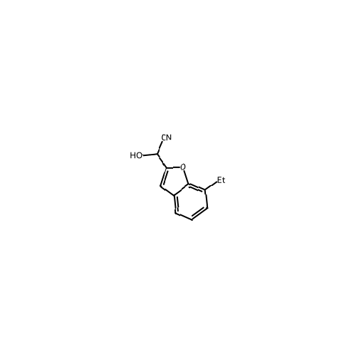 CCc1cccc2cc(C(O)C#N)oc12